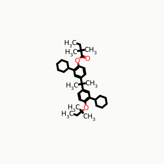 CCC(C)(C)Oc1ccc(C(C)(C)c2ccc(OC(=O)C(C)(C)CC)c(C3CCCCC3)c2)cc1C1CCCCC1